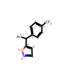 CC(=O)C(c1ccc(C(F)(F)F)cc1)c1ccno1